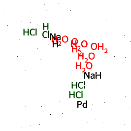 Cl.Cl.Cl.Cl.O.O.O.O.O.O.[NaH].[NaH].[Pd]